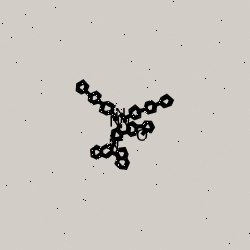 c1ccc(-c2ccc(-c3ccc(-c4nc(-c5ccc(-c6ccc(-c7ccccc7)cc6)cc5)nc(-c5ccc(-n6c7cc8ccccc8cc7c7c8ccccc8ccc76)cc5-c5ccc6c(c5)oc5ccccc56)n4)cc3)cc2)cc1